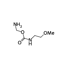 COCCNC(=O)OCN